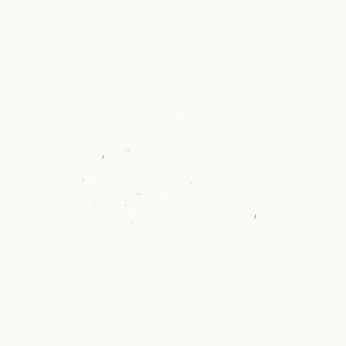 CC(C)n1nc(-c2noc(C3CC3)c2-c2cn(CCCCN)cn2)c2c(N)ncnc21